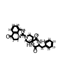 O=C1CCn2c(N3CCC4(CC3)NC(=O)C(Cc3ccccc3)NC4=O)nc3cccc1c32